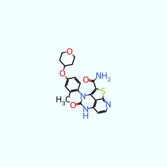 Cc1cc(OC2CCOCC2)ccc1N1C(=O)Nc2ccnc3sc(C(N)=O)c1c23